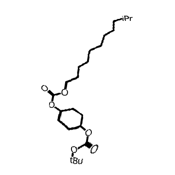 CC(C)CCCCCCCCCOC(=O)OC1CCC(OC(=O)OC(C)(C)C)CC1